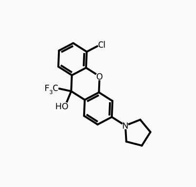 OC1(C(F)(F)F)c2ccc(N3CCCC3)cc2Oc2c(Cl)cccc21